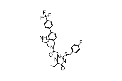 CCc1nn(CC(=O)N(CCCN)Cc2ccc(-c3ccc(C(F)(F)F)cc3)cc2)c(SCc2ccc(F)cc2)nc1=O